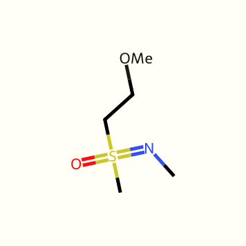 CN=S(C)(=O)CCOC